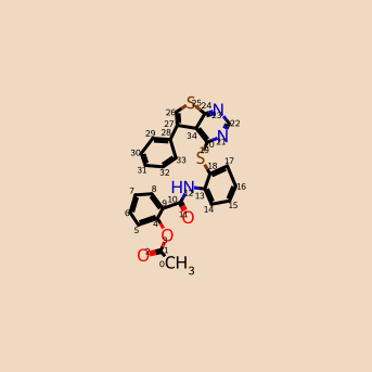 CC(=O)Oc1ccccc1C(=O)Nc1ccccc1Sc1ncnc2scc(-c3ccccc3)c12